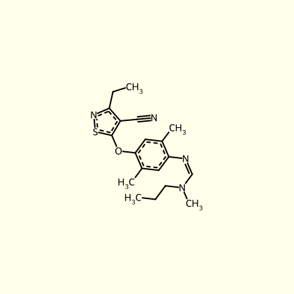 CCCN(C)/C=N\c1cc(C)c(Oc2snc(CC)c2C#N)cc1C